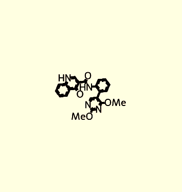 COc1ncc(-c2ccccc2NC(=O)c2c[nH]c3ccccc3c2=O)c(OC)n1